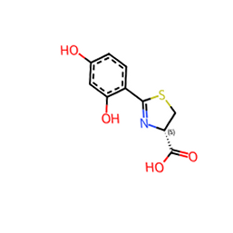 O=C(O)[C@H]1CSC(c2ccc(O)cc2O)=N1